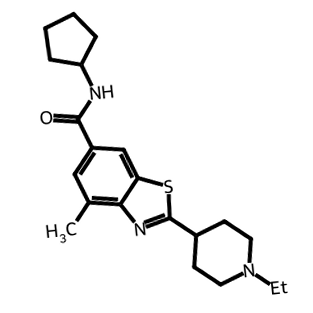 CCN1CCC(c2nc3c(C)cc(C(=O)NC4CCCC4)cc3s2)CC1